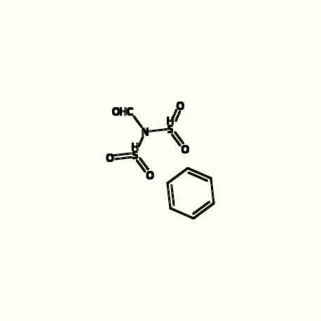 O=CN([SH](=O)=O)[SH](=O)=O.c1ccccc1